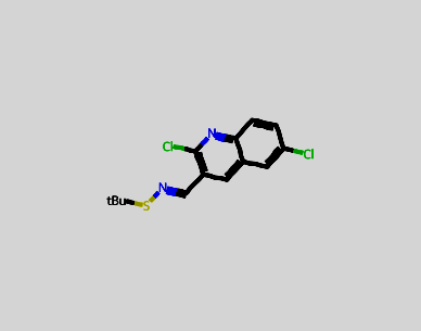 CC(C)(C)SN=Cc1cc2cc(Cl)ccc2nc1Cl